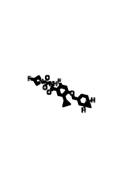 O=C(NS(=O)(=O)N1CC(F)C1)c1cc(C2CC2)c(OCC2CC[C@H]3C[C@H]3C2)cc1F